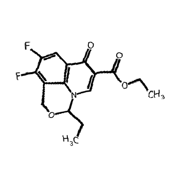 CCOC(=O)c1cn2c3c(c(F)c(F)cc3c1=O)COC2CC